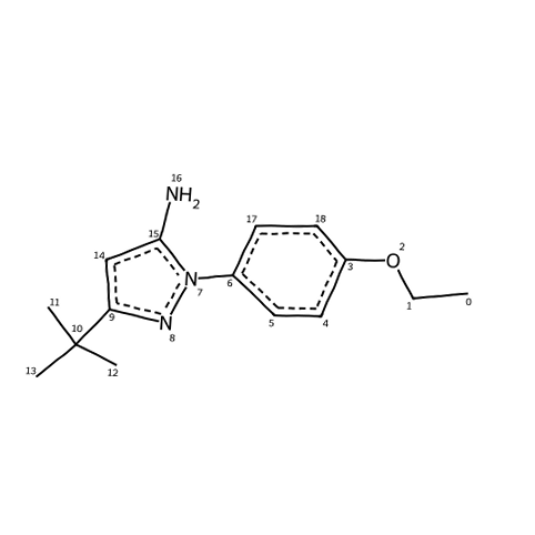 CCOc1ccc(-n2nc(C(C)(C)C)cc2N)cc1